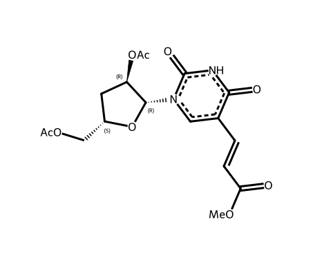 COC(=O)C=Cc1cn([C@@H]2O[C@H](COC(C)=O)C[C@H]2OC(C)=O)c(=O)[nH]c1=O